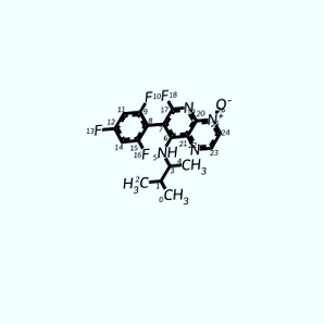 CC(C)C(C)Nc1c(-c2c(F)cc(F)cc2F)c(F)nc2c1ncc[n+]2[O-]